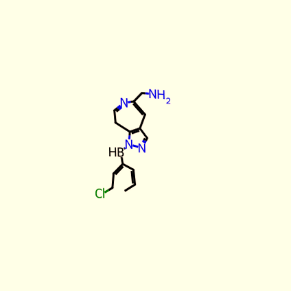 C/C=C\C(Bn1ncc2c1CC=NC(CN)=C2)=C/CCl